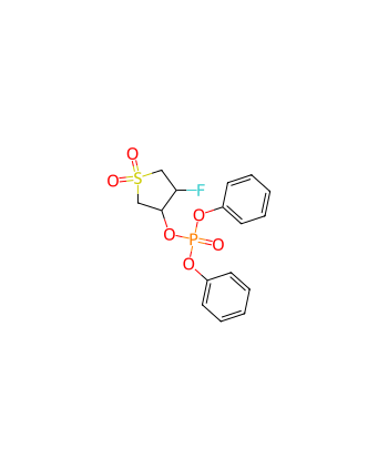 O=P(Oc1ccccc1)(Oc1ccccc1)OC1CS(=O)(=O)CC1F